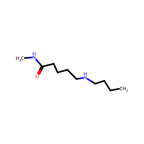 CCCCNCCCCC(=O)NC